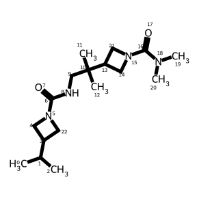 CC(C)C1CN(C(=O)NCC(C)(C)C2CN(C(=O)N(C)C)C2)C1